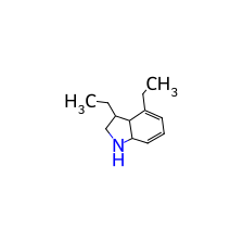 CCC1=CC=CC2NCC(CC)C12